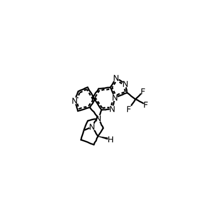 FC(F)(F)c1nnc2ccc(N3CC4CC[C@@H](C3)N4Cc3cccnc3)nn12